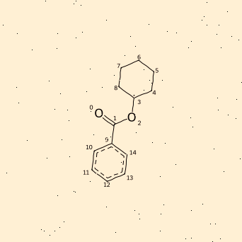 O=C(O[C]1CCCCC1)c1ccccc1